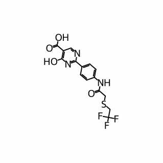 O=C(CSCC(F)(F)F)Nc1ccc(-c2ncc(C(=O)O)c(O)n2)cc1